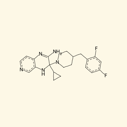 NC1=Nc2ccncc2NC1(C1CC1)N1CCC(Cc2ccc(F)cc2F)CC1